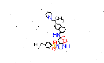 C=C(CN1CCCCC1)c1ccc2c(c1)CCC[C@H]2NC(=O)CC1C(=O)NCCN1S(=O)(=O)c1ccc(C)cc1